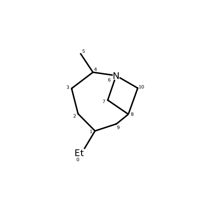 CCC1CCC(C)N2CC(C1)C2